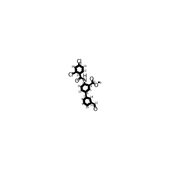 COC(=O)c1cc(-c2cccc(C=O)c2)ccc1NC(=O)c1ccc(Cl)cc1Cl